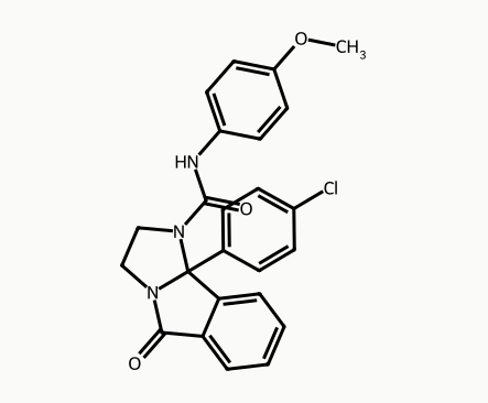 COc1ccc(NC(=O)N2CCN3C(=O)c4ccccc4C23c2ccc(Cl)cc2)cc1